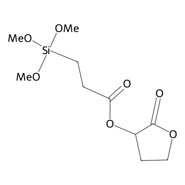 CO[Si](CCC(=O)OC1CCOC1=O)(OC)OC